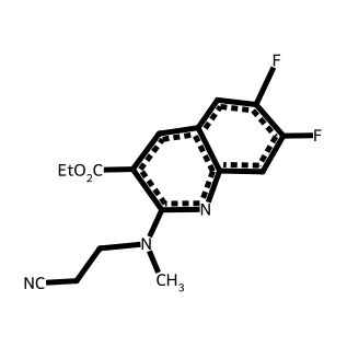 CCOC(=O)c1cc2cc(F)c(F)cc2nc1N(C)CCC#N